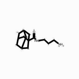 NCCCNC(=O)C12CC3CC(CC(C3)C1)C2